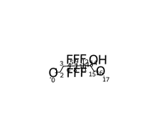 COCCC(F)(F)C(F)(F)C(F)(F)C(O)COC